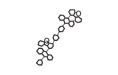 c1ccc(-c2c3ccccc3c(-c3ccc(-c4ccc(-c5ccc(-c6c7ccccc7c(-c7cccc8oc9ccccc9c78)c7ccccc67)cc5)cc4)c4oc5ccccc5c34)c3ccccc23)cc1